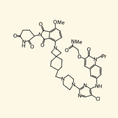 CNC(=O)COc1cc2cc(Nc3nc(N4CCN(CC5CCC6(CC5)CN(c5ccc(OC)c7c5C(=O)N(C5CCC(=O)NC5=O)C7=O)C6)CC4)ncc3Cl)ccc2n(C(C)C)c1=O